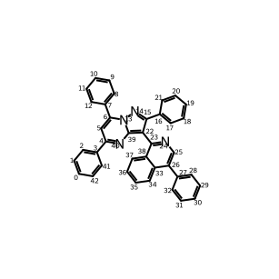 c1ccc(-c2cc(-c3ccccc3)n3nc(-c4ccccc4)c(-c4ncc(-c5ccccc5)c5ccccc45)c3n2)cc1